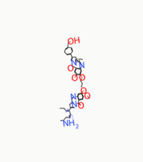 CC/C=C(/C=C\CC(C)N)C1=CN2C(=O)c3cc(OC)c(OCCCOc4cc5c(cc4OC)C(=O)N4C=C(C6=CCC=C(CO)C=C6)C[C@@]4(CC)C=N5)cc3N=CC2C1